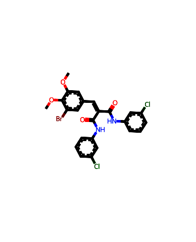 COc1cc(C=C(C(=O)Nc2cccc(Cl)c2)C(=O)Nc2cccc(Cl)c2)cc(Br)c1OC